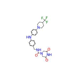 O=C1CN(C(=O)NCc2ccc(Nc3ccc(N4CCC(C(F)(F)F)CC4)cc3)cc2)CC(=O)N1